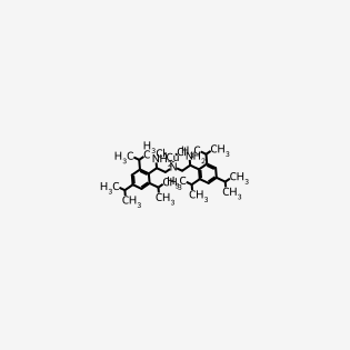 CC(C)c1cc(C(C)C)c(C(N)C[N](CC(N)c2c(C(C)C)cc(C(C)C)cc2C(C)C)[Cu]([Cl])[Cl])c(C(C)C)c1